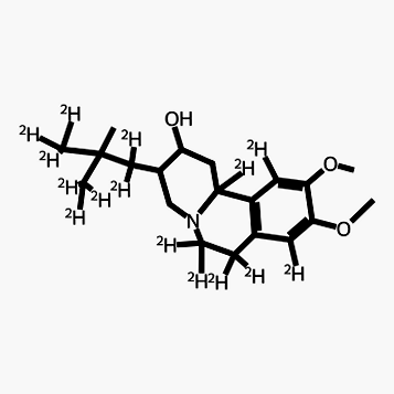 [2H]c1c(OC)c(OC)c([2H])c2c1C1([2H])CC(O)C(C([2H])([2H])C(C)(C([2H])([2H])[2H])C([2H])([2H])[2H])CN1C([2H])([2H])C2([2H])[2H]